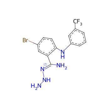 NN/N=C(\N)c1cc(Br)ccc1Nc1cccc(C(F)(F)F)c1